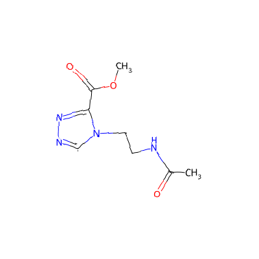 COC(=O)c1nn[c]n1CCNC(C)=O